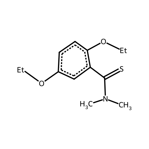 CCOc1ccc(OCC)c(C(=S)N(C)C)c1